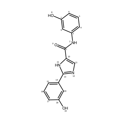 O=C(Nc1cccc(O)c1)c1cnc(-c2cccc(O)c2)[nH]1